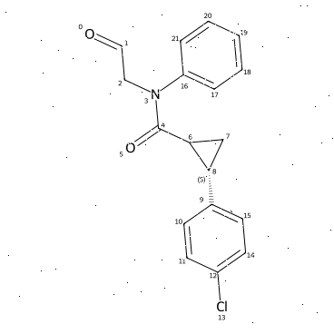 O=CCN(C(=O)C1C[C@@H]1c1ccc(Cl)cc1)c1ccccc1